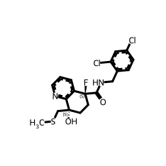 CSC[C@]1(O)CC[C@@](F)(C(=O)NCc2ccc(Cl)cc2Cl)c2cccnc21